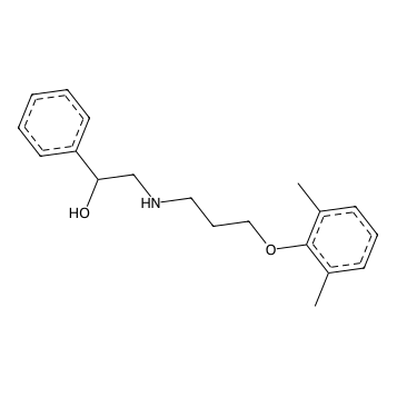 Cc1cccc(C)c1OCCCNCC(O)c1ccccc1